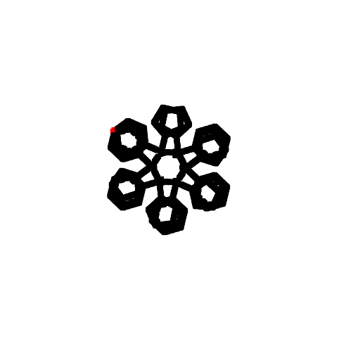 c1ccc([Si]2(C3CCCC3)[Si](c3ccccc3)(C3CCCC3)[Si](c3ccccc3)(C3CCCC3)[Si](c3ccccc3)(C3CCCC3)[Si](c3ccccc3)(C3CCCC3)[Si]2(c2ccccc2)C2CCCC2)cc1